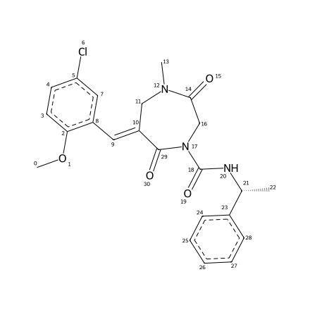 COc1ccc(Cl)cc1/C=C1\CN(C)C(=O)CN(C(=O)N[C@H](C)c2ccccc2)C1=O